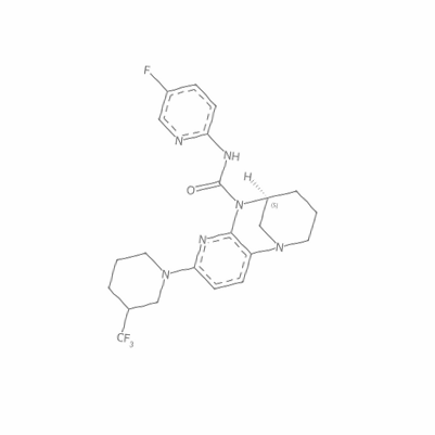 O=C(Nc1ccc(F)cn1)N1c2nc(N3CCCC(C(F)(F)F)C3)ccc2N2CCC[C@H]1C2